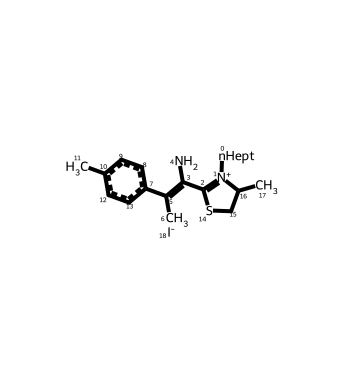 CCCCCCC[N+]1=C(C(N)=C(C)c2ccc(C)cc2)SCC1C.[I-]